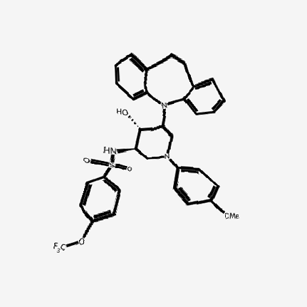 COc1ccc(N2CC(N3c4ccccc4CCc4ccccc43)[C@@H](O)[C@H](NS(=O)(=O)c3ccc(OC(F)(F)F)cc3)C2)cc1